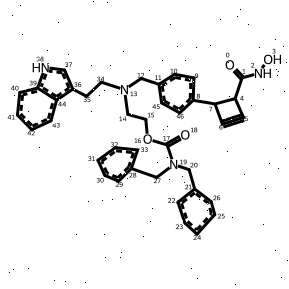 O=C(NO)C1C#CC1c1ccc(CN(CCOC(=O)N(Cc2ccccc2)Cc2ccccc2)CCc2c[nH]c3ccccc23)cc1